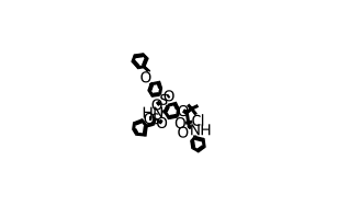 CC(C)(C)C(=O)C(Cl)(Oc1ccc(S(=O)(=O)c2ccc(OCc3ccccc3)cc2)c(NS(=O)(=O)Cc2ccccc2)c1)C(=O)Nc1ccccc1